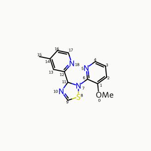 COc1cccnc1N1SC=NC1c1cc(C)ccn1